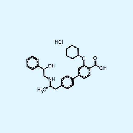 C[C@H](Cc1ccc(-c2ccc(C(=O)O)c(OC3CCCCC3)c2)cc1)NC[C@H](O)c1ccccc1.Cl